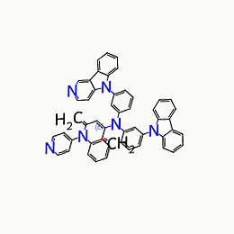 C=C/C(=C\C(=C)N(c1ccccc1)c1ccncc1)N(c1cccc(-n2c3ccccc3c3ccccc32)c1)c1cccc(-n2c3ccccc3c3cnccc32)c1